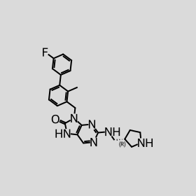 Cc1c(Cn2c(=O)[nH]c3cnc(NC[C@@H]4CCNC4)nc32)cccc1-c1cccc(F)c1